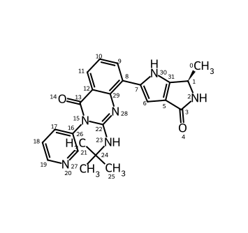 C[C@H]1NC(=O)c2cc(-c3cccc4c(=O)n(-c5cccnc5)c(NC(C)(C)C)nc34)[nH]c21